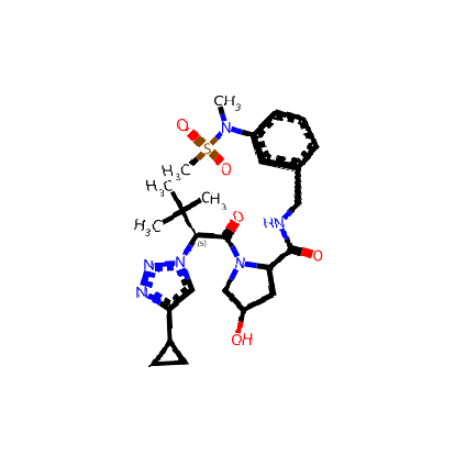 CN(c1cccc(CNC(=O)C2CC(O)CN2C(=O)[C@@H](n2cc(C3CC3)nn2)C(C)(C)C)c1)S(C)(=O)=O